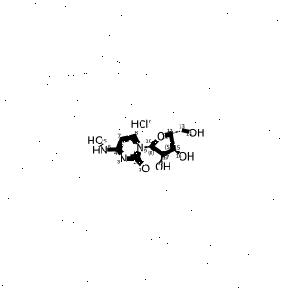 Cl.O=c1nc(NO)ccn1[C@@H]1O[C@H](CO)[C@@H](O)[C@H]1O